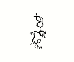 CN(CCN(C)C(=O)O)Cc1cn(C)nc1[C@H]1CC[C@]2(CC1)CC(C)(C)CO2